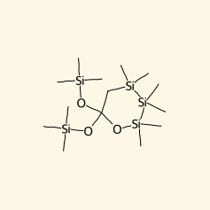 C[Si](C)(C)OC1(O[Si](C)(C)C)C[Si](C)(C)[Si](C)(C)[Si](C)(C)O1